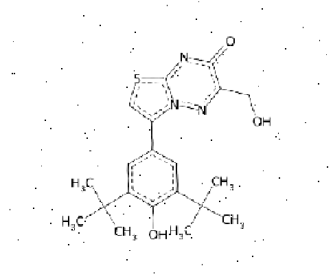 CC(C)(C)c1cc(-c2csc3nc(=O)c(CO)nn23)cc(C(C)(C)C)c1O